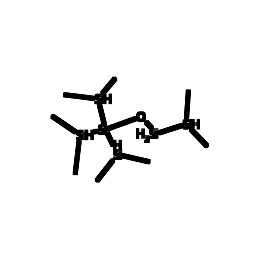 C[SiH](C)[SiH2]O[Si]([SiH](C)C)([SiH](C)C)[SiH](C)C